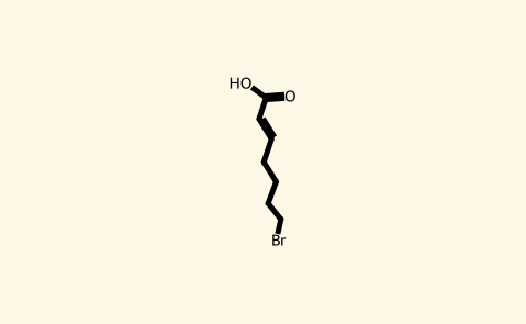 O=C(O)C=CCCCCBr